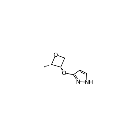 C[C@@H]1OC[C@H]1Oc1cc[nH]n1